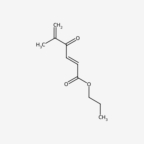 C=C(C)C(=O)C=CC(=O)OCCC